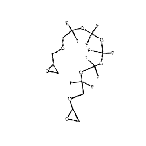 FC(F)(COCC1CO1)OC(F)(F)OC(F)(F)OC(F)(F)OC(F)(F)COC1CO1